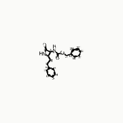 O=C(NC1C(=O)NC1CCc1ccccc1)OCc1ccccc1